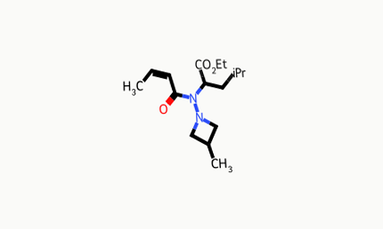 C/C=C\C(=O)N(C(CC(C)C)C(=O)OCC)N1CC(C)C1